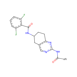 CCCC(=O)Nc1ncc2c(n1)CCC(NC(=O)c1c(F)cccc1F)C2